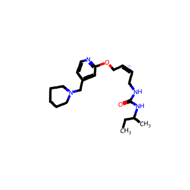 CCC(C)NC(=O)NC/C=C\COc1cc(CN2CCCCC2)ccn1